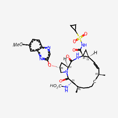 COc1ccc2ncc(O[C@@H]3C[C@H]4C(=O)N[C@]5(C(=O)NS(=O)(=O)C6CC6)C[C@H]5C=C[C@@H](C)CCC[C@@H](C)[C@H](NC(=O)O)C(=O)N4C3)nc2c1